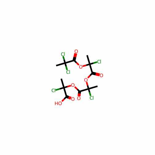 CC(Cl)(Cl)C(=O)OC(C)(Cl)C(=O)OC(C)(Cl)C(=O)OC(C)(Cl)C(=O)O